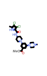 COC(=O)c1cc(N2CCC(NC(=O)c3[nH]c(C)c(Cl)c3Cl)CC2)cc(N2CCN(C)CC2)c1